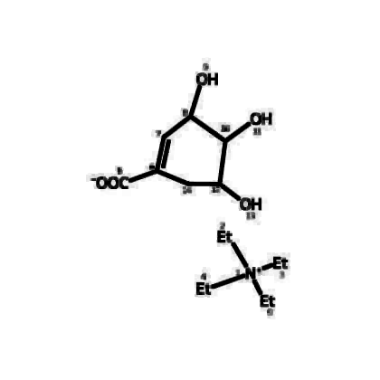 CC[N+](CC)(CC)CC.O=C([O-])C1=CC(O)C(O)C(O)C1